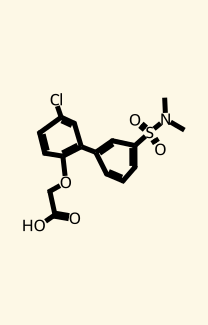 CN(C)S(=O)(=O)c1cccc(-c2cc(Cl)ccc2OCC(=O)O)c1